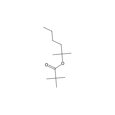 CCCCC(C)(C)OC(=O)C(C)(C)C